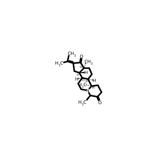 CC(C)=C1C[C@H]2[C@@H]3CCN4C(C)C(=O)CC[C@]4(C)[C@@H]3CC[C@]2(C)C1=O